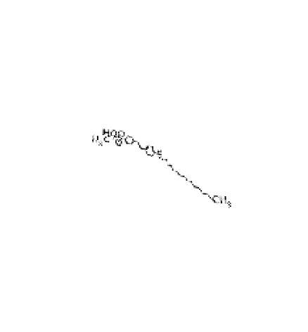 CCCCCCCCCCCCCCCCSc1ccc(C=Cc2ccc(S(=O)(=O)C(O)CC)cc2)cc1